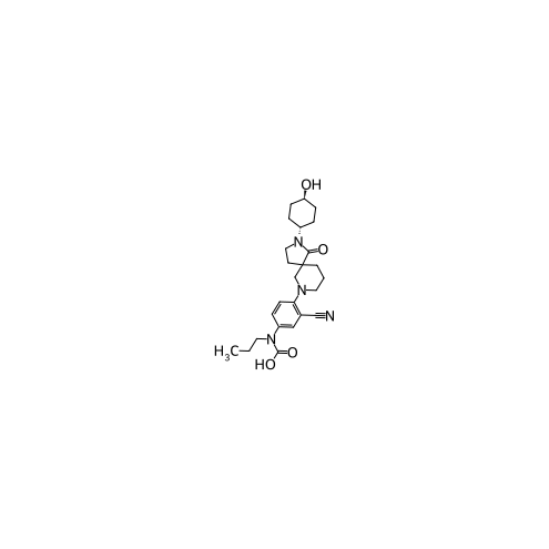 CCCN(C(=O)O)c1ccc(N2CCCC3(CCN([C@H]4CC[C@H](O)CC4)C3=O)C2)c(C#N)c1